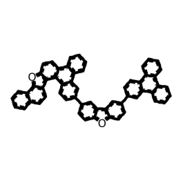 c1ccc2c(c1)ccc1c2oc2ccc3c4ccccc4c4cc(-c5ccc6oc7ccc(-c8ccc9c%10ccccc%10c%10ccccc%10c9c8)cc7c6c5)ccc4c3c21